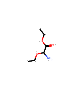 CCOC(=O)C(N)OCC